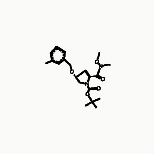 CON(C)C(=O)[C@@H]1C[C@@H](OCc2cccc(C)c2)CN1C(=O)OC(C)(C)C